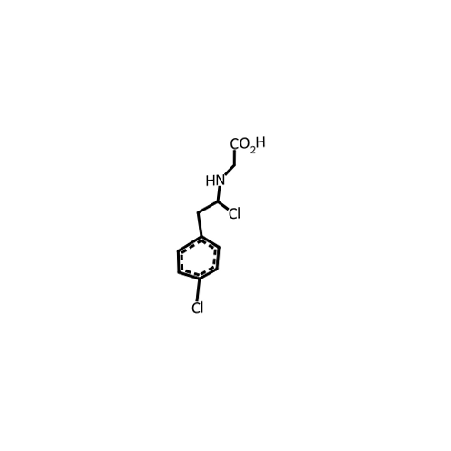 O=C(O)CNC(Cl)Cc1ccc(Cl)cc1